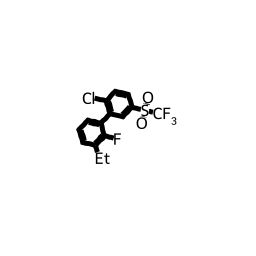 CCc1cccc(-c2cc(S(=O)(=O)C(F)(F)F)ccc2Cl)c1F